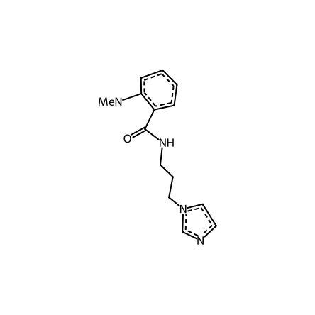 CNc1ccccc1C(=O)NCCCn1ccnc1